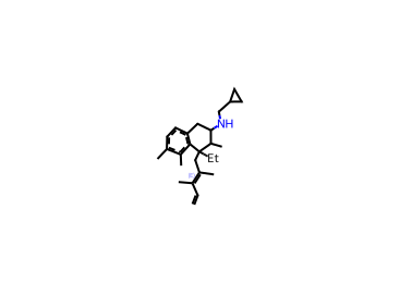 C=C/C(C)=C(\C)CC1(CC)c2c(ccc(C)c2C)CC(NCC2CC2)C1C